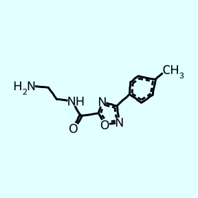 Cc1ccc(-c2noc(C(=O)NCCN)n2)cc1